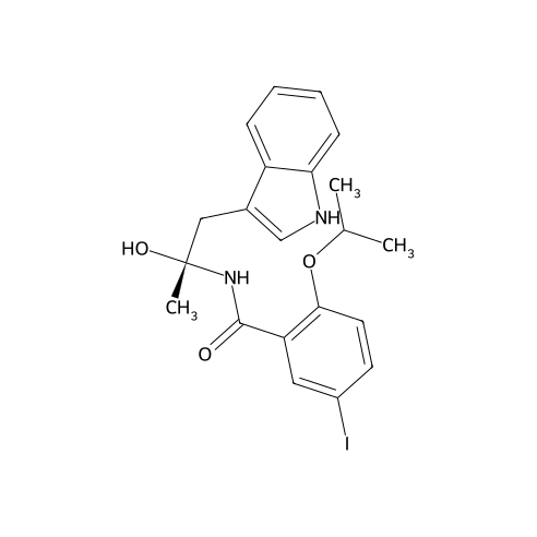 CC(C)Oc1ccc(I)cc1C(=O)N[C@](C)(O)Cc1c[nH]c2ccccc12